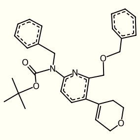 CC(C)(C)OC(=O)N(Cc1ccccc1)c1ccc(C2=CCOCC2)c(COCc2ccccc2)n1